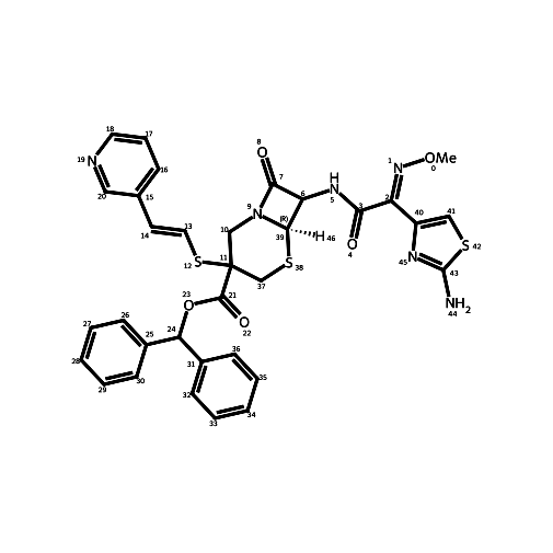 CON=C(C(=O)NC1C(=O)N2CC(SC=Cc3cccnc3)(C(=O)OC(c3ccccc3)c3ccccc3)CS[C@H]12)c1csc(N)n1